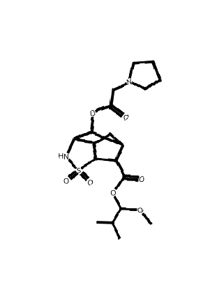 COC(OC(=O)C1C2CC3C(NS(=O)(=O)C31)C2OC(=O)CN1CCCC1)C(C)C